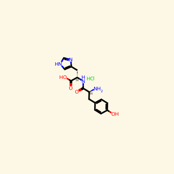 Cl.N[C@@H](Cc1ccc(O)cc1)C(=O)N[C@@H](Cc1c[nH]cn1)C(=O)O